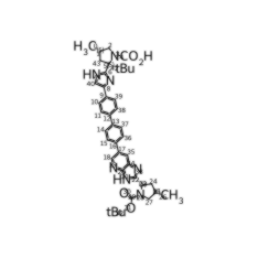 C[C@@H]1CN(C(=O)O)[C@](c2nc(-c3ccc(-c4ccc(-c5cnc6[nH]c([C@@H]7C[C@H](C)CN7C(=O)OC(C)(C)C)nc6c5)cc4)cc3)c[nH]2)(C(C)(C)C)C1